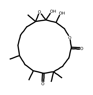 CC1CCCC2(C)OC2(O)C(O)COC(=O)CCC(C)(C)C(=O)C(C)C1